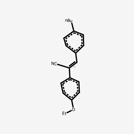 CCCCc1ccc(/C=C(\C#N)c2ccc(OCC)cc2)cc1